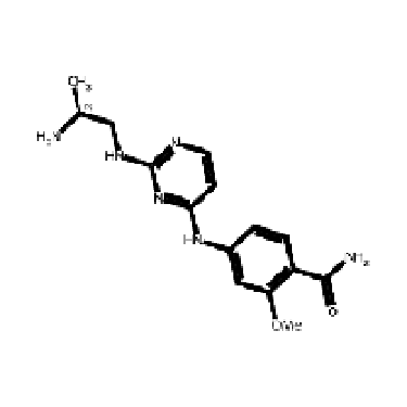 COc1cc(Nc2ccnc(NC[C@H](C)N)n2)ccc1C(N)=O